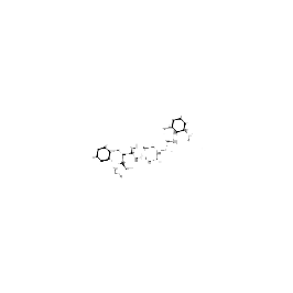 CCc1cccc(CC)c1NC(=O)CN1CCN(CC(O)C(Cc2ccccc2)C2=COCO2)CC1